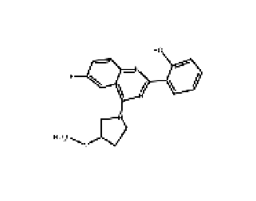 O=C(O)NC1CCN(c2nc(-c3ccccc3O)nc3ccc(F)cc23)C1